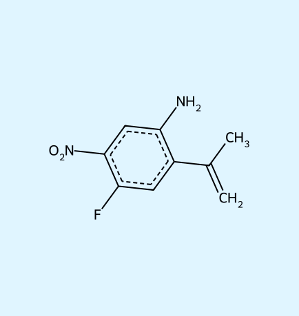 C=C(C)c1cc(F)c([N+](=O)[O-])cc1N